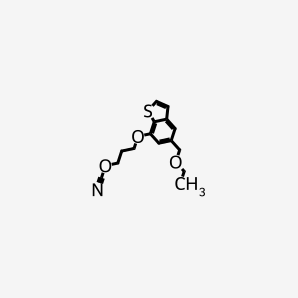 CCOCc1cc(OCCCOC#N)c2sccc2c1